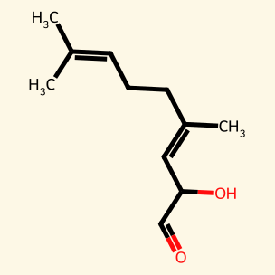 CC(C)=CCCC(C)=CC(O)C=O